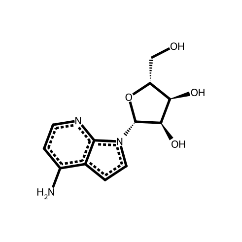 Nc1ccnc2c1ccn2[C@@H]1O[C@H](CO)[C@@H](O)[C@H]1O